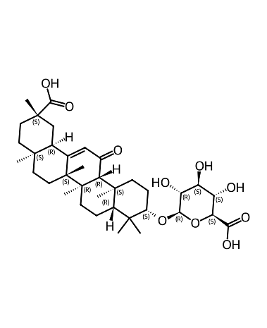 CC1(C)[C@@H](O[C@@H]2O[C@H](C(=O)O)[C@@H](O)[C@H](O)[C@H]2O)CC[C@]2(C)[C@H]3C(=O)C=C4[C@@H]5C[C@@](C)(C(=O)O)CC[C@]5(C)CC[C@@]4(C)[C@]3(C)CC[C@@H]12